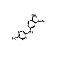 CNc1cc(Nc2cnc(C#N)cn2)ncc1N